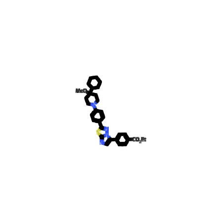 CCOC(=O)c1ccc(-c2cnc3sc(-c4ccc(N5CCC(OC)(C6CCCCC6)CC5)cc4)nn23)cc1